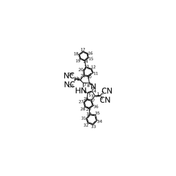 N#CC(C#N)=C1C2=C(NC3C(=N2)c2ccc(-c4ccccc4)cc2C3=C(C#N)C#N)c2ccc(-c3ccccc3)cc21